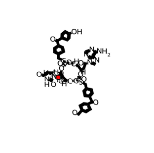 CO[C@H]1[C@H]2OP(=O)(SCc3ccc(C(=O)c4ccc(O)cc4)cc3)OC[C@H]3O[C@@H](n4cnc5c(N)ncnc54)C[C@@H]3OP(=O)(SCc3ccc(C(=O)c4ccc(C=O)cc4)cc3)OC[C@H]1O[C@H]2n1ccc(=O)[nH]c1=O